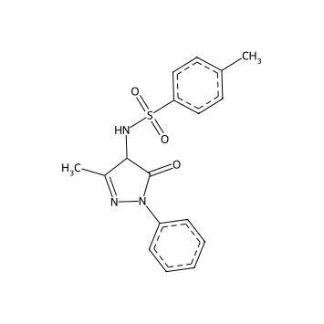 CC1=NN(c2ccccc2)C(=O)C1NS(=O)(=O)c1ccc(C)cc1